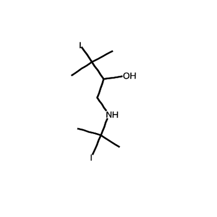 CC(C)(I)NCC(O)C(C)(C)I